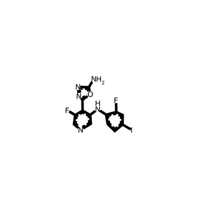 Nc1nnc(-c2c(F)cncc2Nc2ccc(I)cc2F)o1